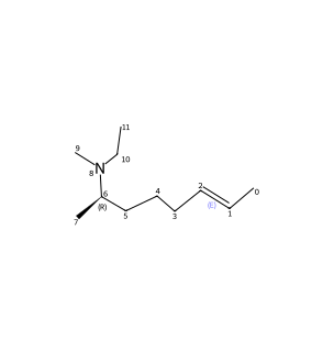 C/C=C/CCC[C@@H](C)N(C)CC